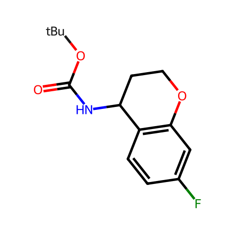 CC(C)(C)OC(=O)NC1CCOc2cc(F)ccc21